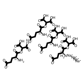 N[C@@H](CCC(=O)[O-])C(=O)OC(C(=O)O)C(=O)O.N[C@@H](CCC(=O)[O-])C(=O)OC(C(=O)O)C(=O)O.N[C@@H](CCC(=O)[O-])C(=O)OC(C(=O)O)C(=O)O.N[C@@H](CCC(=O)[O-])C(=O)OC(C(=O)O)C(=O)O.[Na+].[Na+].[Na+].[Na+]